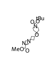 COC(=O)c1cn([C@H]2C[C@H](OC3CCN(C(=O)OC(C)(C)C)CC3)C2)cn1